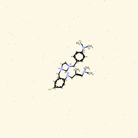 C/C(=C\N(C)C)CNc1ccc(F)cc1CN1CCN(Cc2ccc(N(C)C)cc2)C1